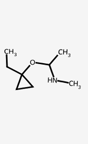 CCC1(OC(C)NC)CC1